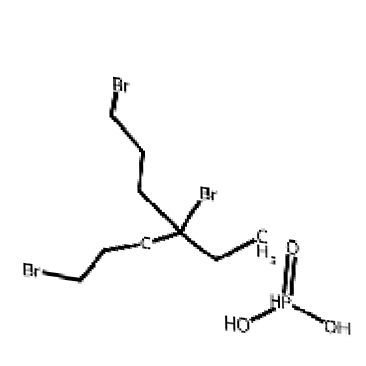 CCC(Br)(CCCBr)CCCBr.O=[PH](O)O